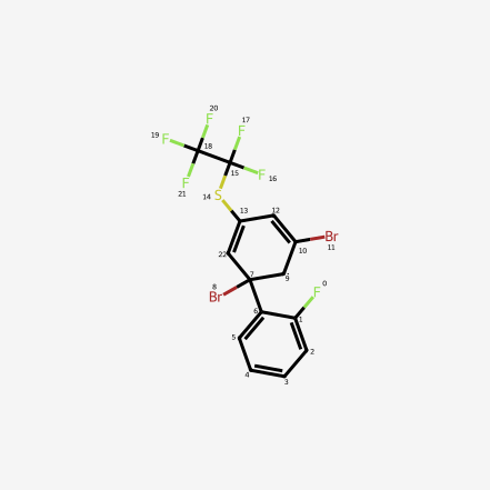 Fc1ccccc1C1(Br)[CH]C(Br)=CC(SC(F)(F)C(F)(F)F)=C1